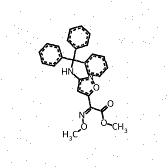 CO/N=C(\C(=O)OC)c1cc(NC(c2ccccc2)(c2ccccc2)c2ccccc2)no1